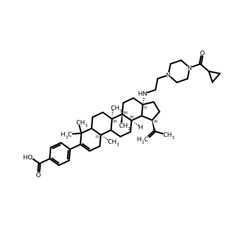 C=C(C)[C@@H]1CC[C@]2(NCCN3CCN(C(=O)C4CC4)CC3)CC[C@]3(C)[C@H](CCC4[C@@]5(C)CC=C(c6ccc(C(=O)O)cc6)C(C)(C)C5CC[C@]43C)C12